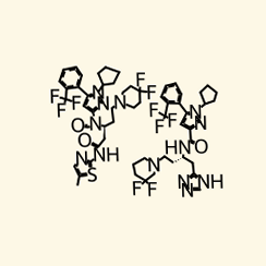 Cc1cnc(NC(=O)C[C@H](CCN2CCC(F)(F)CC2)N(C=O)c2cc(-c3ccccc3C(F)(F)F)n(C3CCCC3)n2)s1.O=C(N[C@@H](CCN1CCCC(F)(F)C1)Cc1nnc[nH]1)c1cc(-c2ccccc2C(F)(F)F)n(C2CCCC2)n1